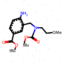 COCCN(Cc1cc(C(=O)OC(C)(C)C)ccc1N)C(=O)OC(C)(C)C